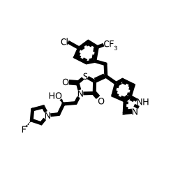 O=C1SC(=C(Cc2ccc(Cl)cc2C(F)(F)F)c2ccc3[nH]ncc3c2)C(=O)N1C[C@H](O)CN1CC[C@@H](F)C1